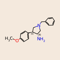 COc1ccc([C@H]2CN(Cc3ccccc3)C[C@@H]2N)cc1